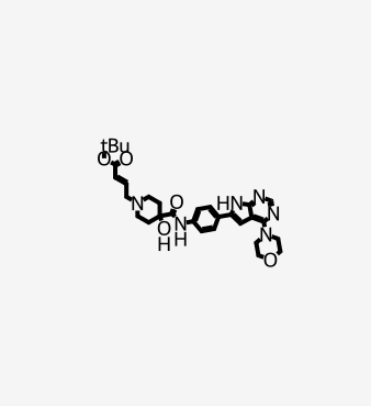 CC(C)(C)OC(=O)/C=C/CN1CCC(O)(C(=O)Nc2ccc(-c3cc4c(N5CCOCC5)ncnc4[nH]3)cc2)CC1